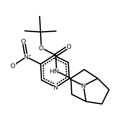 CC(C)(C)OC(=O)NC1CC2CCC(C1)N2c1ccc([N+](=O)[O-])cn1